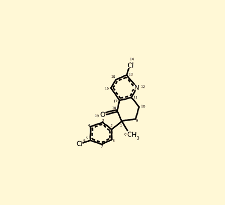 CC1(c2ccc(Cl)cc2)CCc2nc(Cl)ccc2C1=O